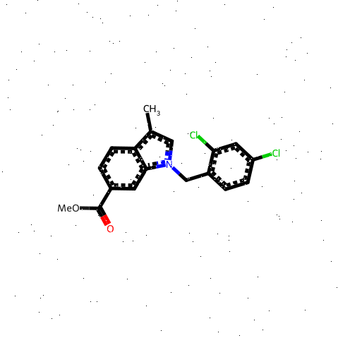 COC(=O)c1ccc2c(C)cn(Cc3ccc(Cl)cc3Cl)c2c1